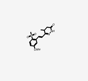 COc1ccc(S(C)(=O)=O)c(C=CC2=NNC(=O)CC2C)c1